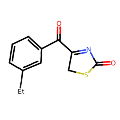 CCc1cccc(C(=O)C2=NC(=O)SC2)c1